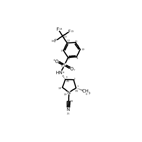 C[C@H]1C[C@@H](NS(=O)(=O)c2cccc(C(F)(F)F)c2)CN1C#N